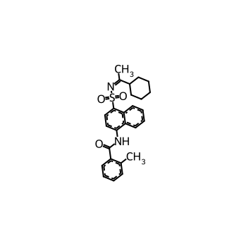 C/C(=N/S(=O)(=O)c1ccc(NC(=O)c2ccccc2C)c2ccccc12)C1CCCCC1